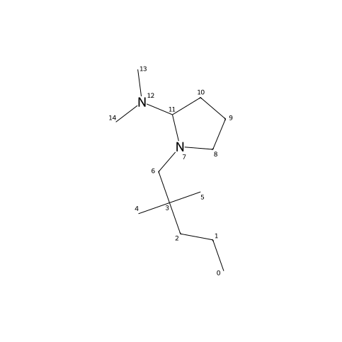 CCCC(C)(C)CN1CCCC1N(C)C